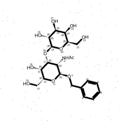 CC(=O)N[C@@H]1[C@@H](OCc2ccccc2)O[C@H](CO)[C@H](O)[C@@H]1O[C@@H]1O[C@H](CO)[C@H](O)[C@H](O)[C@H]1O